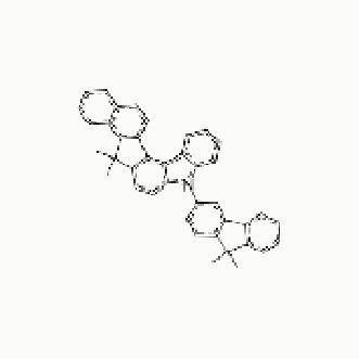 CC1(C)c2ccccc2-c2cc(-n3c4ccccc4c4c5c(ccc43)C(C)(C)c3c-5ccc4ccccc34)ccc21